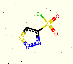 O=S(=O)(Cl)c1csnn1